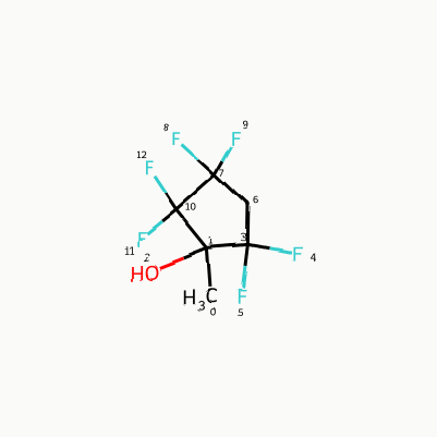 CC1(O)C(F)(F)CC(F)(F)C1(F)F